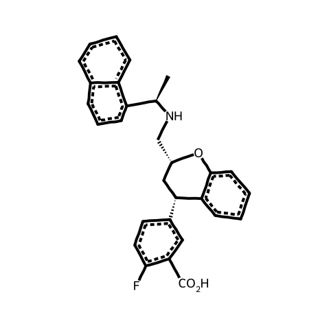 C[C@@H](NC[C@H]1C[C@@H](c2ccc(F)c(C(=O)O)c2)c2ccccc2O1)c1cccc2ccccc12